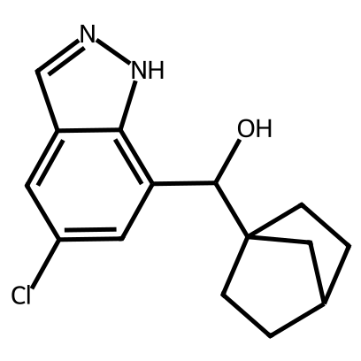 OC(c1cc(Cl)cc2cn[nH]c12)C12CCC(CC1)C2